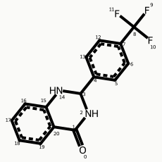 O=C1NC(c2ccc(C(F)(F)F)cc2)Nc2ccccc21